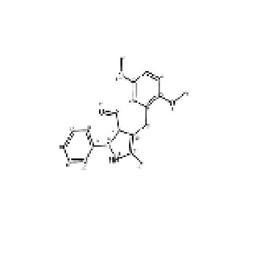 COc1ccc(OC)c(CC2=C(C)NN(c3ccccn3)C2C=O)c1